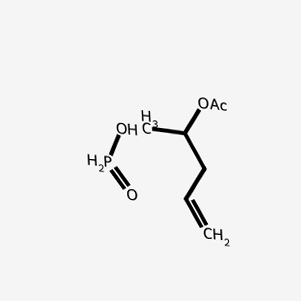 C=CCC(C)OC(C)=O.O=[PH2]O